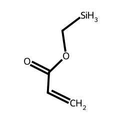 C=CC(=O)OC[SiH3]